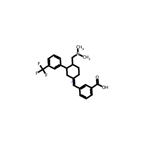 CN(C)CC1CC/C(=C\c2cccc(C(=O)O)c2)CC1c1cccc(C(F)(F)F)c1